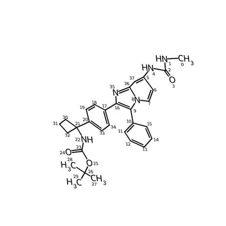 CNC(=O)Nc1ccn2c(-c3ccccc3)c(-c3ccc(C4(NC(=O)OC(C)(C)C)CCC4)cc3)nc2c1